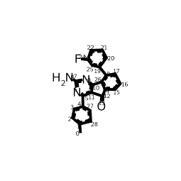 Cc1ccc(-c2nc(N)nc3c2C(=O)c2cccc(-c4cccc(F)c4)c2-3)cc1